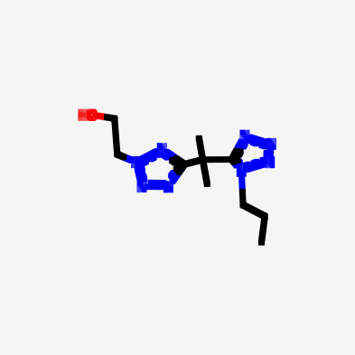 CCCn1nnnc1C(C)(C)c1nnn(CCO)n1